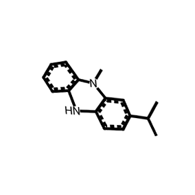 CC(C)c1ccc2c(c1)N(C)c1ccccc1N2